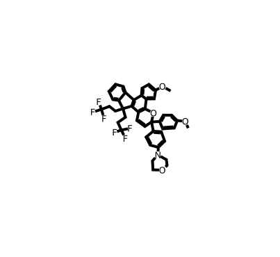 COc1ccc(C2(c3ccc(N4CCOCC4)cc3)C=Cc3c4c(c5ccc(OC)cc5c3O2)-c2ccccc2C4(CCC(F)(F)F)CCC(F)(F)F)cc1